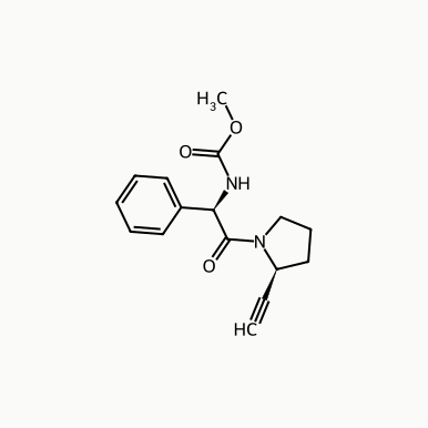 C#C[C@@H]1CCCN1C(=O)[C@H](NC(=O)OC)c1ccccc1